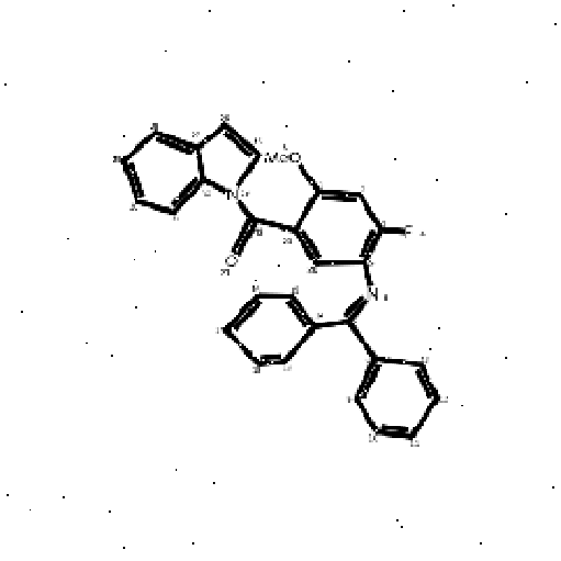 COc1cc(F)c(N=C(c2ccccc2)c2ccccc2)cc1C(=O)n1ccc2ccccc21